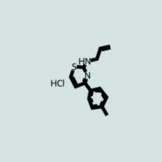 C=CCNC1N=C(c2ccc(C)cc2)C=CS1.Cl